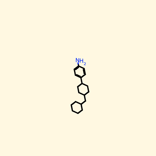 Nc1ccc(C2CCC(CC3CCCCC3)CC2)cc1